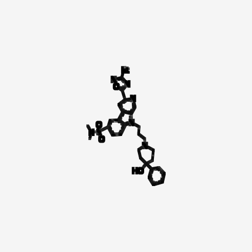 CCc1noc(-c2cc3c4cc(S(=O)(=O)N(C)C)ccc4n(CCCN4CCC(O)(c5ccccc5)CC4)c3cn2)n1